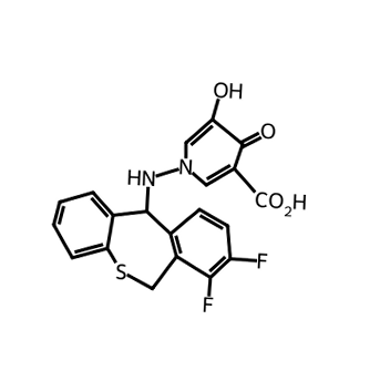 O=C(O)c1cn(NC2c3ccccc3SCc3c2ccc(F)c3F)cc(O)c1=O